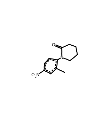 Cc1cc([N+](=O)[O-])ccc1N1CCCCC1=O